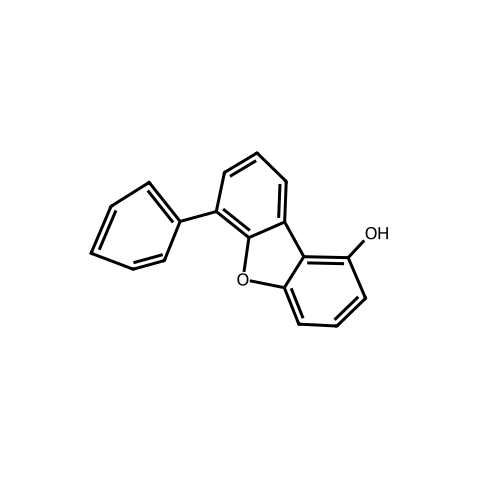 Oc1cccc2oc3c(-c4ccccc4)cccc3c12